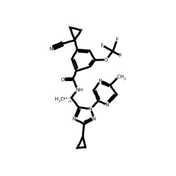 Cc1cnc(-n2nc(C3CC3)nc2[C@H](C)NC(=O)c2cc(OC(F)(F)F)cc(C3(C#N)CC3)c2)cn1